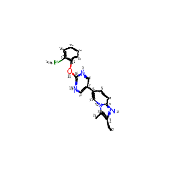 Cc1nc2ccc(-c3cnc(Oc4ccccc4F)nc3)cn2c1C